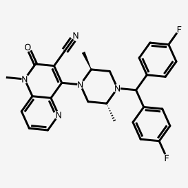 C[C@@H]1CN(c2c(C#N)c(=O)n(C)c3cccnc23)[C@@H](C)CN1C(c1ccc(F)cc1)c1ccc(F)cc1